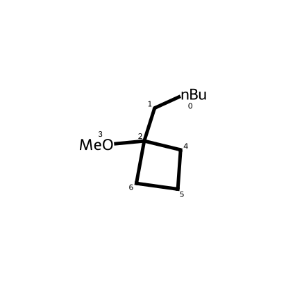 [CH2]CCCCC1(OC)CCC1